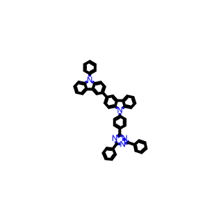 c1ccc(C2N=C(c3ccc(-n4c5ccccc5c5cc(-c6ccc7c(c6)c6ccccc6n7-c6ccccc6)ccc54)cc3)N3C(c4ccccc4)N23)cc1